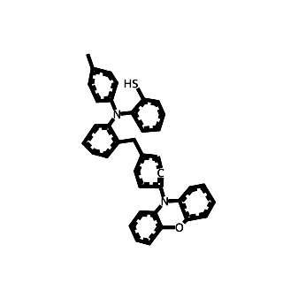 Cc1ccc(N(c2ccccc2S)c2ccccc2Cc2ccc(N3c4ccccc4Oc4ccccc43)cc2)cc1